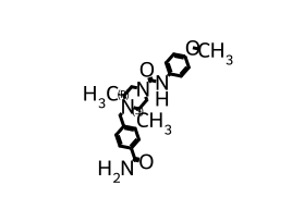 COc1ccc(NC(=O)N2C[C@@H](C)N(Cc3ccc(C(N)=O)cc3)[C@@H](C)C2)cc1